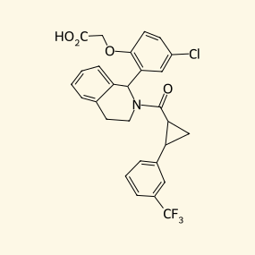 O=C(O)COc1ccc(Cl)cc1C1c2ccccc2CCN1C(=O)C1CC1c1cccc(C(F)(F)F)c1